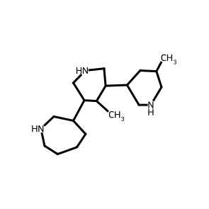 CC1CNCC(C2CNCC(C3CCCCNC3)C2C)C1